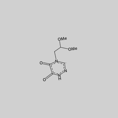 COC(Cn1[c]n[nH]c(=O)c1=O)OC